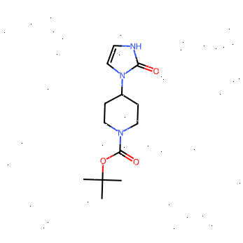 CC(C)(C)OC(=O)N1CCC(n2cc[nH]c2=O)CC1